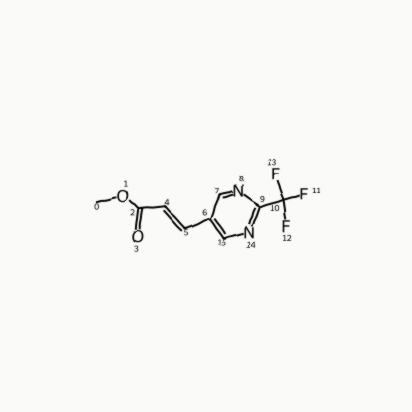 COC(=O)C=Cc1cnc(C(F)(F)F)nc1